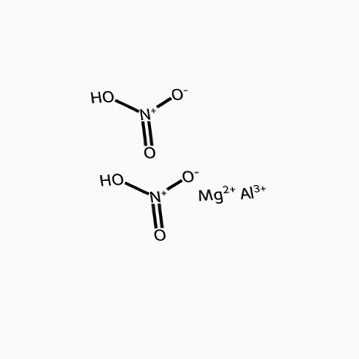 O=[N+]([O-])O.O=[N+]([O-])O.[Al+3].[Mg+2]